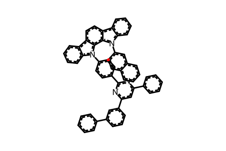 c1ccc(-c2cccc(-c3cc(-c4ccccc4)nc(-c4ccc(-n5c6ccccc6c6ccc7c8ccccc8n(-c8ccc9ccccc9c8)c7c65)cc4)n3)c2)cc1